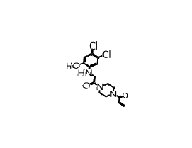 C=CC(=O)N1CCN(C(=O)CNc2cc(Cl)c(Cl)cc2O)CC1